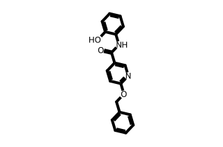 O=C(Nc1ccccc1O)c1ccc(OCc2ccccc2)nc1